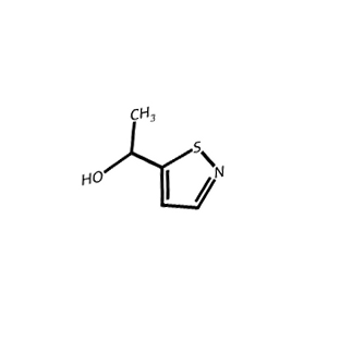 CC(O)c1ccns1